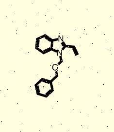 C=Cc1nc2ccccc2n1COCc1ccccc1